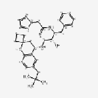 CC(C)(C)Cc1cnc2c(c1)[C@@H](NC[C@@H](O)[C@H](Cc1ccccc1)NC(=O)Cn1nccn1)CC1(CCC1)O2